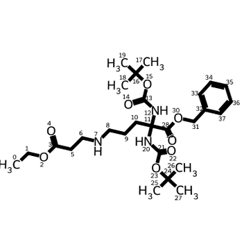 CCOC(=O)CCNCCCC(NC(=O)OC(C)(C)C)(NC(=O)OC(C)(C)C)C(=O)OCc1ccccc1